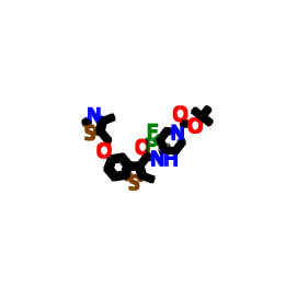 Cc1ncsc1COc1ccc2sc(C)c(C(=O)N[C@H]3CCN(C(=O)OC(C)(C)C)CC3(F)F)c2c1